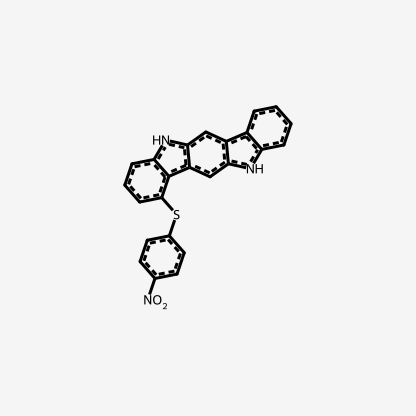 O=[N+]([O-])c1ccc(Sc2cccc3[nH]c4cc5c(cc4c23)[nH]c2ccccc25)cc1